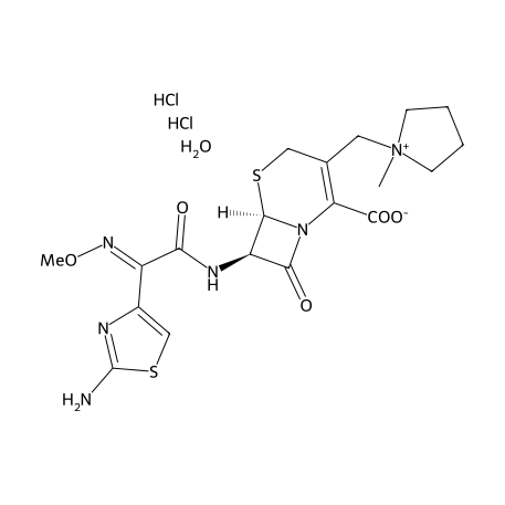 CO/N=C(/C(=O)N[C@@H]1C(=O)N2C(C(=O)[O-])=C(C[N+]3(C)CCCC3)CS[C@H]12)c1csc(N)n1.Cl.Cl.O